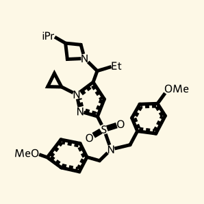 CCC(c1cc(S(=O)(=O)N(Cc2ccc(OC)cc2)Cc2ccc(OC)cc2)nn1C1CC1)N1CC(C(C)C)C1